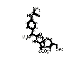 CC(=O)OCC1=C(C(=O)O)N2C(=O)C(NC(=O)C(N)c3ccc(NC(N)=S)cc3)[C@@H]2SC1